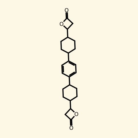 O=C1CC(C2CCC(c3ccc(C4CCC(C5CC(=O)O5)CC4)cc3)CC2)O1